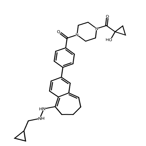 O=C(c1ccc(-c2ccc3c(c2)=CCCCC=3NNCC2CC2)cc1)N1CCN(C(=O)C2(O)CC2)CC1